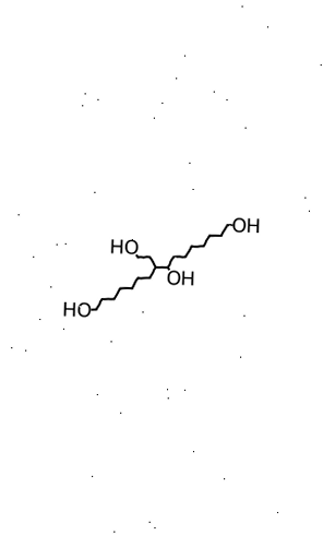 OCCCCCCCC(O)C(CCO)CCCCCCCO